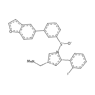 CNCc1cc(-c2ccccc2F)n([S+]([O-])c2cccc(-c3ccc4occc4c3)c2)c1